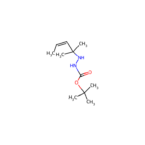 C/C=C\C(C)(C)NNC(=O)OC(C)(C)C